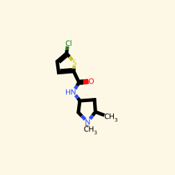 CC1CC(NC(=O)c2ccc(Cl)s2)CN1C